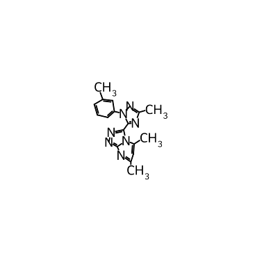 Cc1cccc(-n2nc(C)nc2-c2nnc3nc(C)cc(C)n23)c1